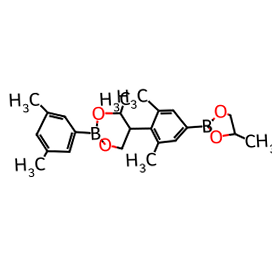 Cc1cc(C)cc(B2OCC(c3c(C)cc(B4OCC(C)O4)cc3C)C(C)O2)c1